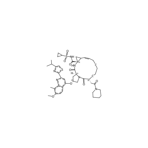 COc1ccc2c(O[C@@H]3C[C@H]4C(=O)N[C@]5(C(=O)NS(=O)(=O)C6CC6)CC5C=CCCCCC[C@H](CC(=O)N5CCCCC5)C(=O)N4C3)cc(-c3nc(C(C)C)cs3)nc2c1C